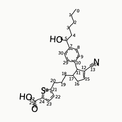 CCCCCC(O)c1ccc(C2C(C#N)=CCC2CCCc2ccc(C(=O)O)s2)cc1